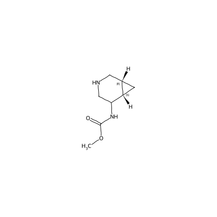 COC(=O)NC1CNC[C@@H]2C[C@H]12